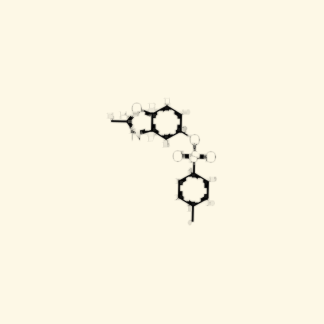 Cc1ccc(S(=O)(=O)Oc2ccc3oc(C)nc3c2)cc1